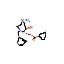 CC(=O)N[C@H]1CN(Cc2ccccc2)[C@@H](COC(=O)c2ccccc2)[C@@H]1O